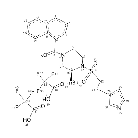 CCCC[C@H]1CN(C(=O)c2cccc3ccccc23)CCN1S(=O)(=O)CCn1ccnc1.O=C(O)C(F)(F)F.O=C(O)C(F)(F)F